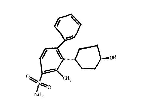 Cc1c(S(N)(=O)=O)ccc(-c2ccccc2)c1[C@H]1CC[C@H](O)CC1